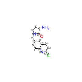 N[C@H]1CCN(Cc2ccc3nc(Cl)ccc3c2)C1=O